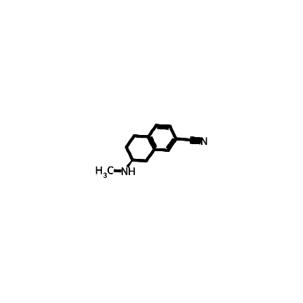 CN[C@H]1CCc2ccc(C#N)cc2C1